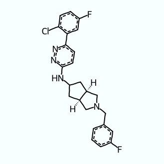 Fc1cccc(CN2C[C@H]3CC(Nc4ccc(-c5cc(F)ccc5Cl)nn4)C[C@H]3C2)c1